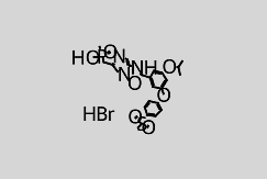 Br.CC(C)Oc1cc(Oc2ccc(S(C)(=O)=O)cc2)cc(C(=O)Nc2cnc(CP(C)(=O)O)cn2)c1